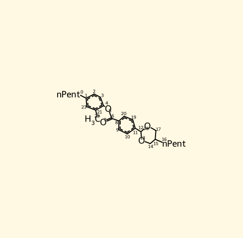 CCCCCc1ccc(OC(=O)c2ccc(C3OCC(CCCCC)CO3)cc2)c(C)c1